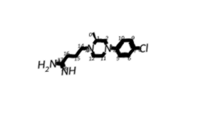 C[C@H]1CN(c2ccc(Cl)cc2)CCN1CCCC(=N)N